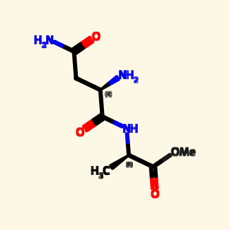 COC(=O)[C@@H](C)NC(=O)[C@H](N)CC(N)=O